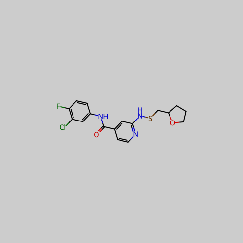 O=C(Nc1ccc(F)c(Cl)c1)c1ccnc(NSCC2CCCO2)c1